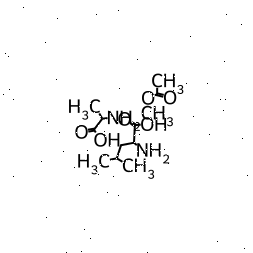 CC(C)CC(N)C(=O)O.CC(N)C(=O)O.COC(C)=O